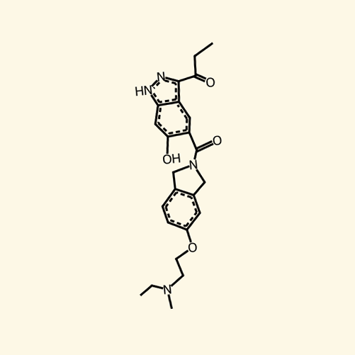 CCC(=O)c1n[nH]c2cc(O)c(C(=O)N3Cc4ccc(OCCN(C)CC)cc4C3)cc12